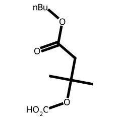 CCCCOC(=O)CC(C)(C)OC(=O)O